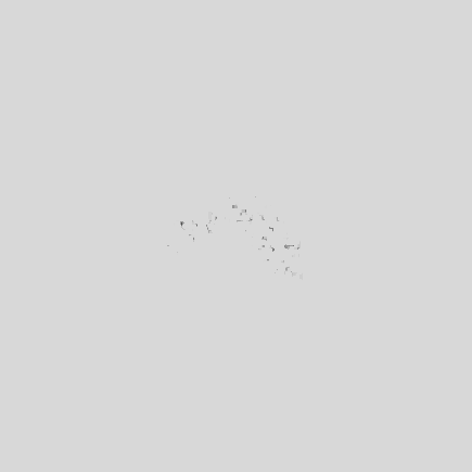 CC[C@H]1C[C@@H]2[C@H](CC[C@]3(C)[C@@H]([C@H](C)CNC(=O)NS(=O)(=O)C4CC4)CC[C@@H]23)[C@@]2(C)CC[C@@H](O)C[C@@H]12